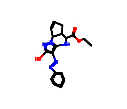 CCOC(=O)C1Nc2c(N=Nc3ccccc3)c(O)nn2C2C=CCC12